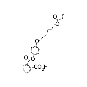 C=CC(=O)OCCCCCCOc1ccc(OC(=O)c2ccccc2C(=O)O)cc1